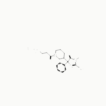 CN1C(=O)C(c2ccccc2)(C2CCCN(C(=O)CCC(=O)O)C2)N=C1N